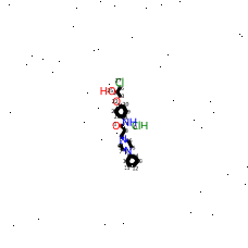 Cl.O=C(CCN1CCN(c2ccccc2)CC1)Nc1ccc(OCC(O)CCl)cc1